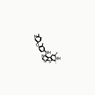 Cc1ccc(Oc2ccc(Nc3ncnc4sc5c(c34)C[C@@H](C)N[C@@H]5C)cc2C)cn1